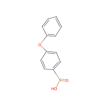 O=S(O)c1ccc(Oc2ccccc2)cc1